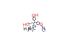 C\C=C/C=C(\C=C/C)C(/CCCO)=C(/c1ccc(O)cc1)c1ccc(OCCN2CCCCC2)cc1